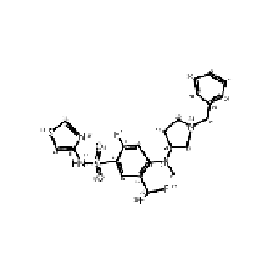 CN(c1cc(F)c(S(=O)(=O)Nc2cscn2)cc1C(F)F)[C@H]1CCN(Cc2ccccc2)C1